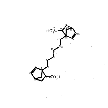 O=C(O)C1CC2C=CC1(CCCCCCC13C=CC(CC1C(=O)O)C3)C2